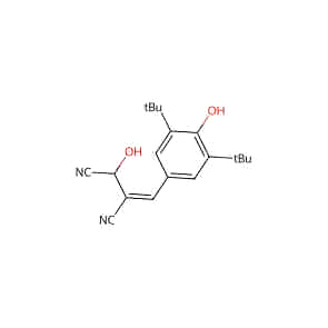 CC(C)(C)c1cc(/C=C(/C#N)C(O)C#N)cc(C(C)(C)C)c1O